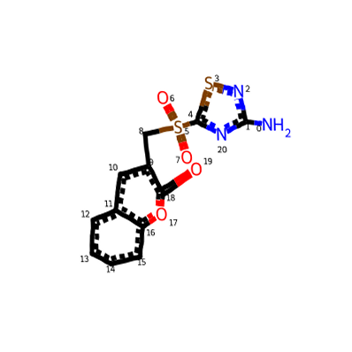 Nc1nsc(S(=O)(=O)Cc2cc3ccccc3oc2=O)n1